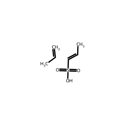 C=CC.CC=CS(=O)(=O)O